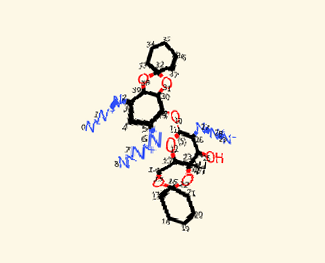 [N-]=[N+]=NC1CC(N=[N+]=[N-])[C@@H](O[C@H]2OC3COC4(CCCCC4)O[C@H]3C(O)C2N=[N+]=[N-])C2OC3(CCCCC3)OC12